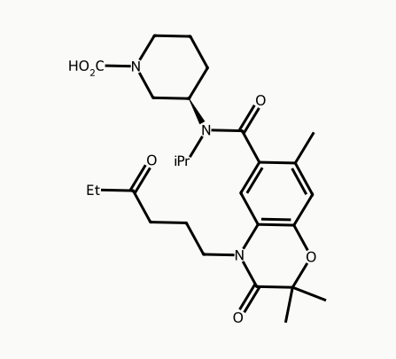 CCC(=O)CCCN1C(=O)C(C)(C)Oc2cc(C)c(C(=O)N(C(C)C)[C@@H]3CCCN(C(=O)O)C3)cc21